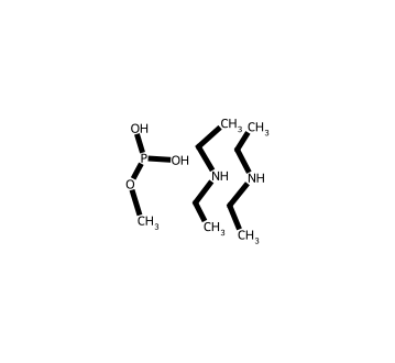 CCNCC.CCNCC.COP(O)O